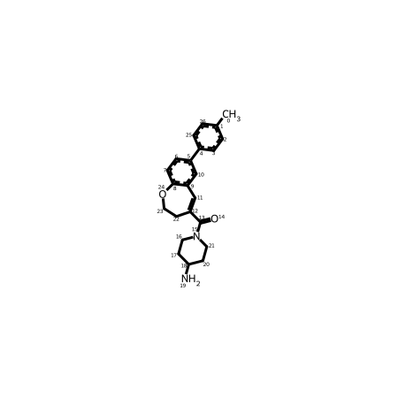 Cc1ccc(-c2ccc3c(c2)C=C(C(=O)N2CCC(N)CC2)CCO3)cc1